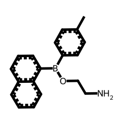 Cc1ccc(B(OCCN)c2cccc3ccccc23)cc1